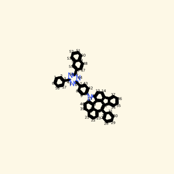 c1ccc(-c2nc(-c3ccc(-n4c5ccc6c7c5c5c8c(cccc8c(-c8ccccc8)c-7c7ccccc76)ccc54)cc3)nc(-c3ccc4ccccc4c3)n2)cc1